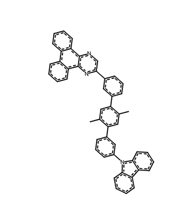 Cc1cc(-c2cccc(-n3c4ccccc4c4ccccc43)c2)c(C)cc1-c1cccc(-c2cnc3c4ccccc4c4ccccc4c3n2)c1